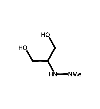 CNNC(CO)CO